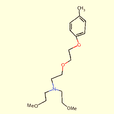 COCCN(CCOC)CCOCCOc1ccc(C)cc1